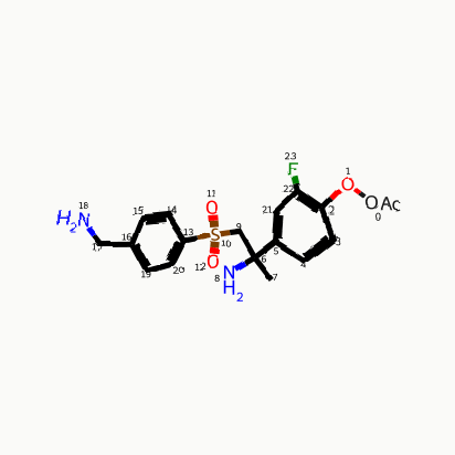 CC(=O)OOc1ccc(C(C)(N)CS(=O)(=O)c2ccc(CN)cc2)cc1F